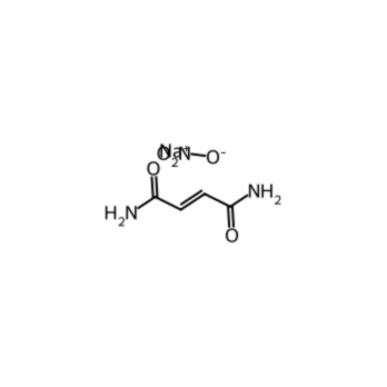 NC(=O)C=CC(N)=O.O=[N+]([O-])[O-].[Na+]